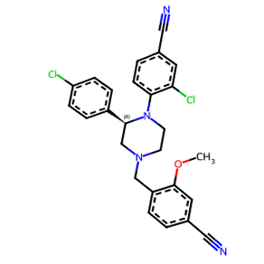 COc1cc(C#N)ccc1CN1CCN(c2ccc(C#N)cc2Cl)[C@H](c2ccc(Cl)cc2)C1